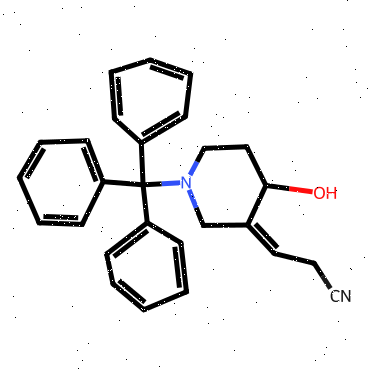 N#CC/C=C1/CN(C(c2ccccc2)(c2ccccc2)c2ccccc2)CCC1O